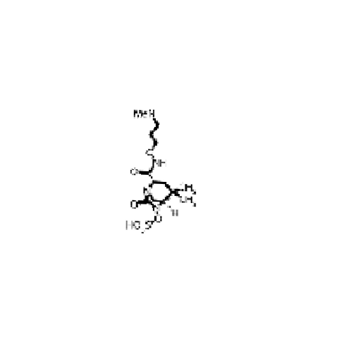 CNCCCONC(=O)[C@@H]1CC(C)(C)[C@@H]2CN1C(=O)N2OS(=O)(=O)O